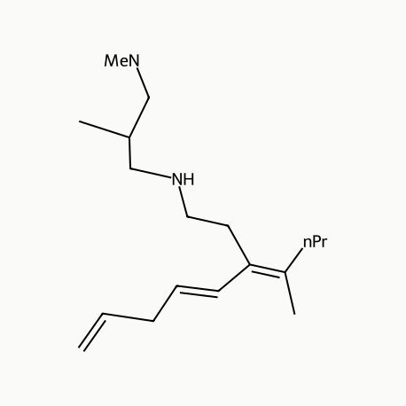 C=CCC=C/C(CCNCC(C)CNC)=C(\C)CCC